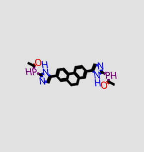 CC(=O)Pc1ncc(-c2ccc3c(c2)CCc2cc(-c4cnc(PC(C)=O)[nH]4)ccc2-3)[nH]1